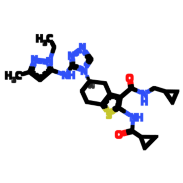 CCn1nc(C)cc1Nc1nncn1[C@H]1CCc2sc(NC(=O)C3CC3)c(C(=O)NCC3CC3)c2C1